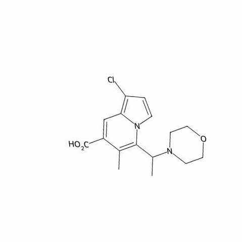 Cc1c(C(=O)O)cc2c(Cl)ccn2c1C(C)N1CCOCC1